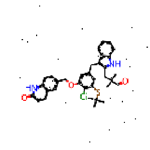 CC(C)(C=O)Cc1[nH]c2ccccc2c1Cc1cc(OCc2ccc3[nH]c(=O)ccc3c2)c(Cl)c(SC(C)(C)C)c1